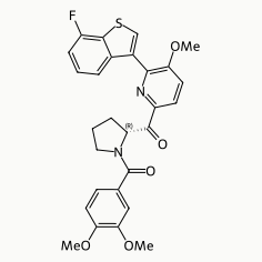 COc1ccc(C(=O)N2CCC[C@@H]2C(=O)c2ccc(OC)c(-c3csc4c(F)cccc34)n2)cc1OC